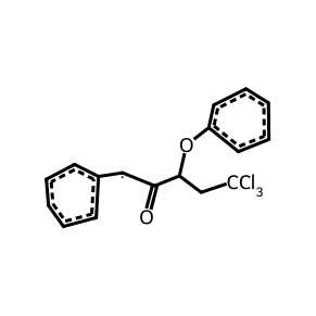 O=C([CH]c1ccccc1)C(CC(Cl)(Cl)Cl)Oc1ccccc1